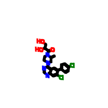 CC1CN(c2ncnc3cc(Cl)c(-c4ccc(Cl)cc4)cc23)CCN1C(=O)C(O)CO